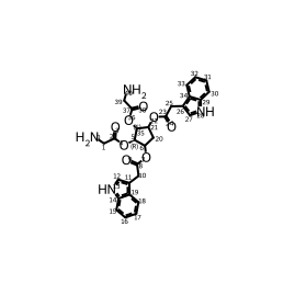 NCC(=O)O[C@@H]1C(OC(=O)Cc2c[nH]c3ccccc23)CC(OC(=O)Cc2c[nH]c3ccccc23)[C@@H]1OC(=O)CN